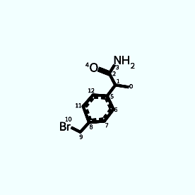 CC(C(N)=O)c1ccc(CBr)cc1